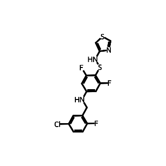 Fc1ccc(Cl)cc1CNc1cc(F)c(SNc2cscn2)c(F)c1